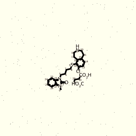 Cn1c(=O)n(CCCCSc2c(Cl)ccc3c2CCNCC3)c2ccccc21.O=C(O)CCC(=O)O